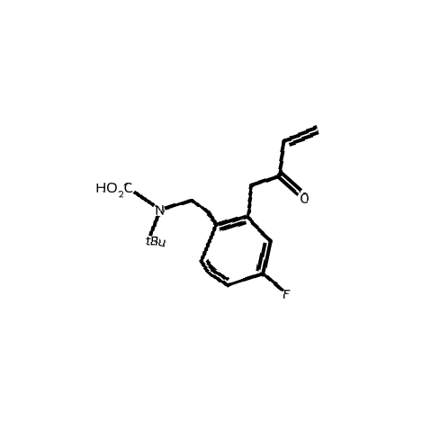 C=CC(=O)Cc1cc(F)ccc1CN(C(=O)O)C(C)(C)C